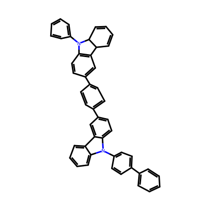 C1=CC2c3cc(-c4ccc(-c5ccc6c(c5)c5ccccc5n6-c5ccc(-c6ccccc6)cc5)cc4)ccc3N(c3ccccc3)C2C=C1